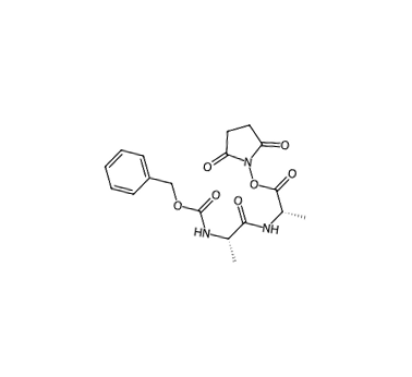 C[C@H](NC(=O)OCc1ccccc1)C(=O)N[C@@H](C)C(=O)ON1C(=O)CCC1=O